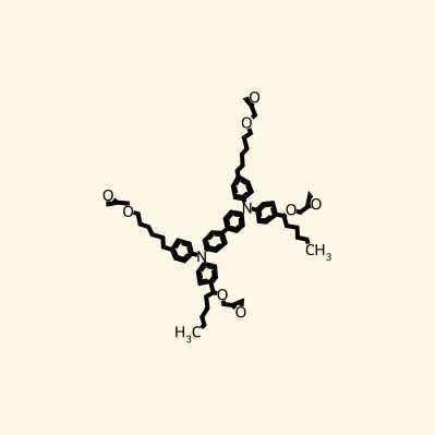 CCCCCC(OCC1CO1)c1ccc(N(c2ccc(CCCCCCOCC3CO3)cc2)c2ccc(-c3ccc(N(c4ccc(CCCCCCOCC5CO5)cc4)c4ccc(C(CCCCC)OCC5CO5)cc4)cc3)cc2)cc1